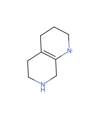 C1C[N]C2=C(C1)CCNC2